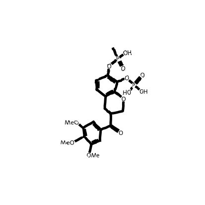 COc1cc(C(=O)C2COc3c(ccc(OP(C)(=O)O)c3OP(=O)(O)O)C2)cc(OC)c1OC